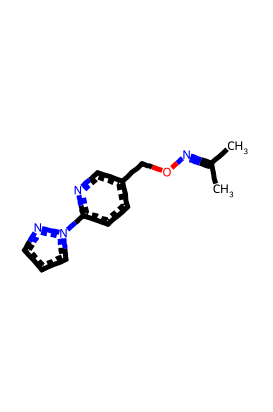 CC(C)=NOCc1ccc(-n2cccn2)nc1